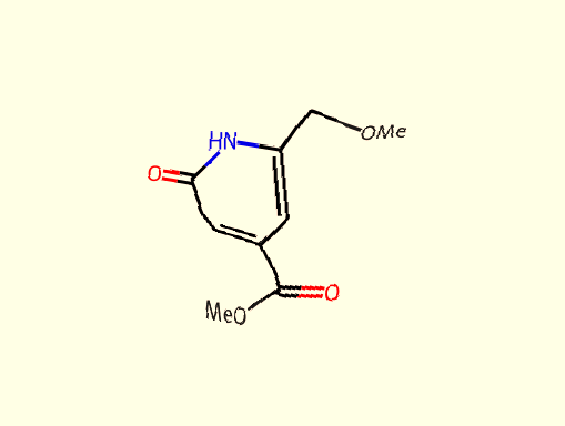 COCc1cc(C(=O)OC)cc(=O)[nH]1